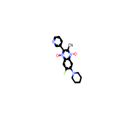 N#Cc1c(-c2cccnc2)[n+]([O-])c2cc(F)c(N3CCCCC3)cc2[n+]1[O-]